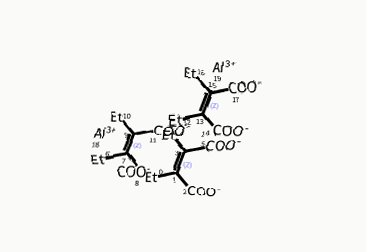 CC/C(C(=O)[O-])=C(\CC)C(=O)[O-].CC/C(C(=O)[O-])=C(\CC)C(=O)[O-].CC/C(C(=O)[O-])=C(\CC)C(=O)[O-].[Al+3].[Al+3]